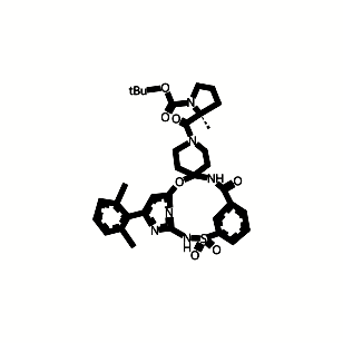 Cc1cccc(C)c1-c1cc2nc(n1)NS(=O)(=O)c1cccc(c1)C(=O)NC1(CCN(C(=O)[C@]3(C)CCCN3C(=O)OC(C)(C)C)CC1)O2